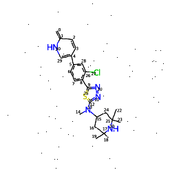 C=C1C=CC(c2ccc(-c3nnc(N(C)C4CC(C)(C)NC(C)(C)C4)s3)c(Cl)c2)=CN1